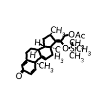 CC(=O)OCC(O[Si](C)(C)C)=C1[C@H](C)C[C@H]2[C@@H]3CCC4=CC(=O)C=C[C@]4(C)C3=CC[C@]12C